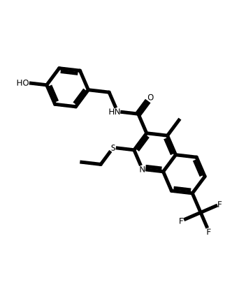 CCSc1nc2cc(C(F)(F)F)ccc2c(C)c1C(=O)NCc1ccc(O)cc1